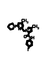 Cc1cc(Cn2cc(C)cc2C(=O)Nc2ccc(I)cc2)nc(N2CCCCC2)c1